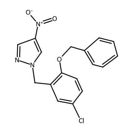 O=[N+]([O-])c1cnn(Cc2cc(Cl)ccc2OCc2ccccc2)c1